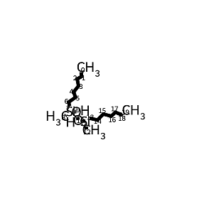 CCCCCCC[SiH](C)OO[SiH](C)CCCCCCC